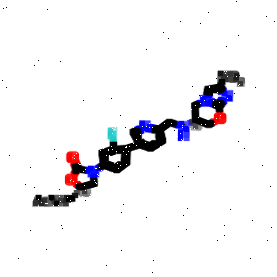 CC(=O)NC[C@H]1CN(c2ccc(-c3ccc(CN[C@H]4COc5nc([N+](=O)[O-])cn5C4)nc3)c(F)c2)C(=O)O1